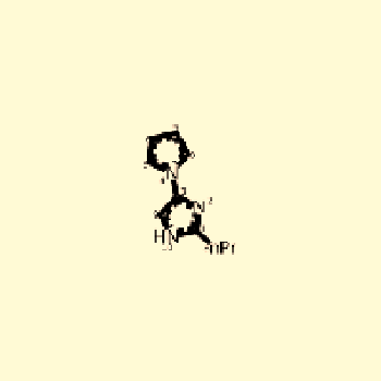 CCCc1nc(-n2cccc2)c[nH]1